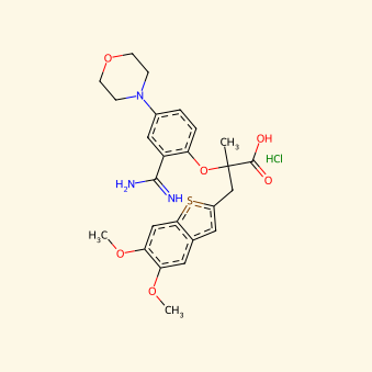 COc1cc2cc(CC(C)(Oc3ccc(N4CCOCC4)cc3C(=N)N)C(=O)O)sc2cc1OC.Cl